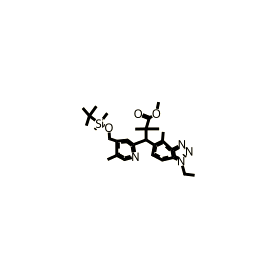 CCn1nnc2c(C)c(C(c3cc(CO[Si](C)(C)C(C)(C)C)c(C)cn3)C(C)(C)C(=O)OC)ccc21